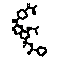 CC(=O)NC1CCC(Nc2ncc3cc([C@@H](C)OC(=O)c4ccccc4)nc(NC(C)C)c3n2)CC1